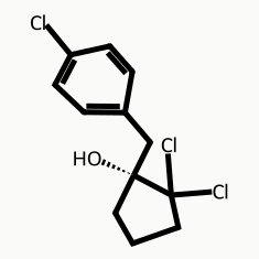 O[C@@]1(Cc2ccc(Cl)cc2)CCCC1(Cl)Cl